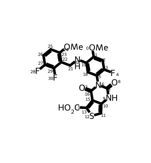 COc1cc(F)c(-n2c(=O)[nH]c3csc(C(=O)O)c3c2=O)cc1NCc1c(OC)ccc(F)c1F